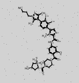 Cc1nn(CCCC#N)c(C)c1-c1ccc(-c2cnc(C(=O)Nc3ccc(C(=O)N4CCN(C(=O)[C@@H]5C[C@@H](O)C[N+]5(C)C)CC4)c(Cl)c3)n2C)c(F)c1F